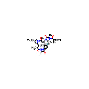 CC[C@H](C)[C@@H]([C@@H](CC(=O)N1C[C@H](OC)C[C@@H]1[C@H](OC)[C@@H](C)C(=O)N[C@@H](C)C(=O)c1ccc(F)cc1)OC)N(C)C(=O)[C@@H](NC(=O)[C@@H](NC)C(C)C)C(C)C